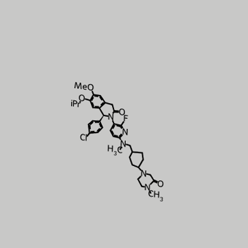 COc1cc2c(cc1OC(C)C)[C@H](c1ccc(Cl)cc1)N(c1ccc(N(C)CC3CCC(N4CCN(C)C(=O)C4)CC3)nc1F)C(=O)C2